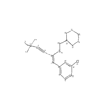 C[Si](C)(C)C#CC(=Nc1cccc(Cl)c1)SCC1CCCCC1